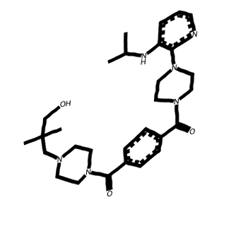 CC(C)Nc1cccnc1N1CCN(C(=O)c2ccc(C(=O)N3CCN(CC(C)(C)CO)CC3)cc2)CC1